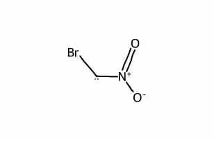 O=[N+]([O-])[C]Br